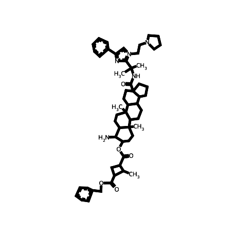 CC1C(C(=O)OCc2ccccc2)CC1C(=O)OC1CCC2(C)C(CCC3(C)C4CCC5(C(=O)NC(C)(C)c6nc(-c7ccccc7)cn6CCN6CCCC6)CCCC5C4CCC23)C1N